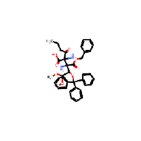 CCCC(=O)C(N)(C(=O)O)C(N)(C(=O)OCc1ccccc1)C(OC(c1ccccc1)(c1ccccc1)c1ccccc1)C(OC)OC